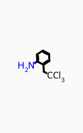 Nc1ccccc1CC(Cl)(Cl)Cl